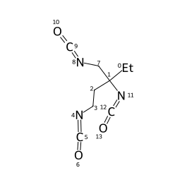 CCC(CCN=C=O)(CN=C=O)N=C=O